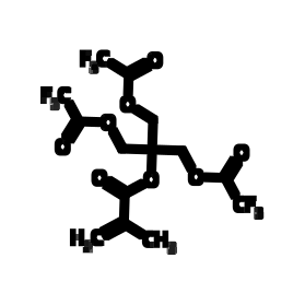 C=C(C)C(=O)OC(COC(=O)C(F)(F)F)(COC(=O)C(F)(F)F)COC(=O)C(F)(F)F